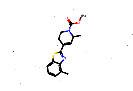 Cc1cccc2sc(C3=CC(C)N(C(=O)OC(C)(C)C)CC3)nc12